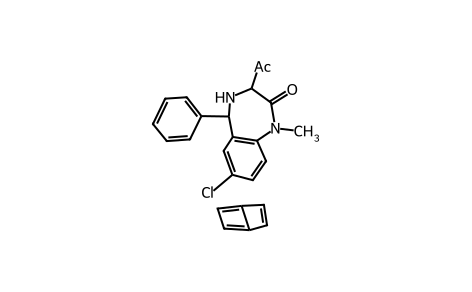 CC(=O)C1NC(c2ccccc2)c2cc(Cl)ccc2N(C)C1=O.c1cc2ccc1-2